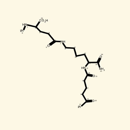 CC(C)NC(CCC(=O)NCCCCC(NC(=O)CCCC(=O)C(C)C)C(N)=O)C(=O)O